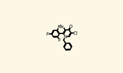 O=c1c(Cl)cn(Cc2ccccc2)c(-c2c(F)cc(F)cc2F)c1Br